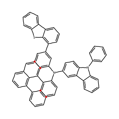 c1ccc(-c2cccc3cccc(-c4ccccc4N(c4cccc(-c5cccc6c5sc5ccccc56)c4)c4ccc5c(c4)c4ccccc4n5-c4ccccc4)c23)cc1